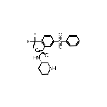 O=S(=O)(N[C@H]1CCCNC1)c1cc(S(=O)(=O)c2ccccc2)ccc1C(F)(F)F